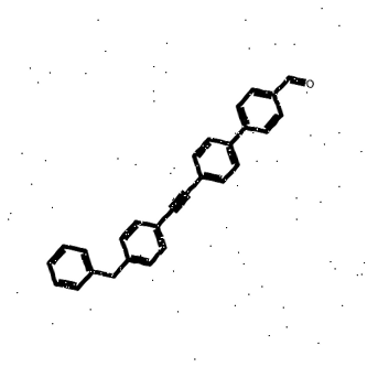 O=Cc1ccc(-c2ccc(C#Cc3ccc(Cc4ccccc4)cc3)cc2)cc1